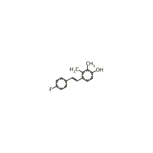 Cc1c(O)ccc(C=Cc2ccc(F)cc2)c1C